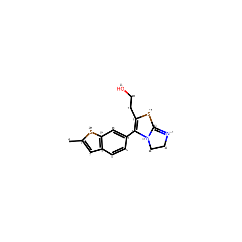 Cc1cc2ccc(C3=C(CCO)SC4=NCCN43)cc2s1